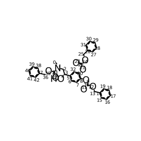 CN(CC(O)c1ccc(OC(=O)OCc2ccccc2)c(OC(=O)OCc2ccccc2)c1)C(=O)OCc1ccccc1